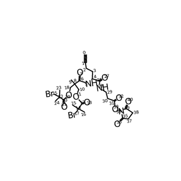 C#CCCC(NC(=O)C(C)(COC(=O)C(C)(C)Br)COC(=O)C(C)(C)Br)C(=O)NCCC(=O)ON1C(=O)CCC1=O